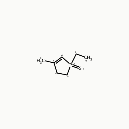 CCP1(=S)C=C(C)CC1